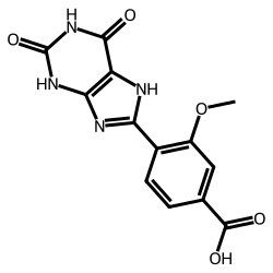 COc1cc(C(=O)O)ccc1-c1nc2[nH]c(=O)[nH]c(=O)c2[nH]1